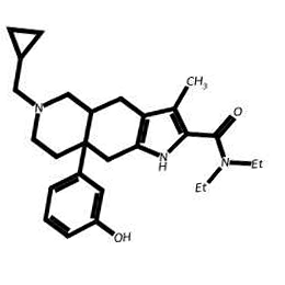 CCN(CC)C(=O)c1[nH]c2c(c1C)CC1CN(CC3CC3)CCC1(c1cccc(O)c1)C2